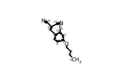 CCCCOc1ccc(C=C(C#N)C#N)c(F)c1